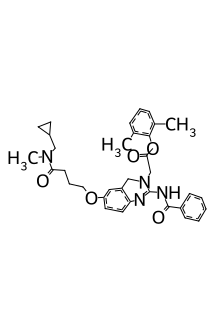 Cc1cccc(C)c1OC(=O)CN1Cc2cc(OCCCC(=O)N(C)CC3CC3)ccc2N=C1NC(=O)c1ccccc1